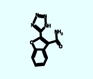 NC(=O)c1c(-c2nnn[nH]2)oc2ccccc12